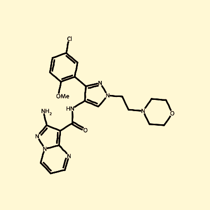 COc1ccc(Cl)cc1-c1nn(CCN2CCOCC2)cc1NC(=O)c1c(N)nn2cccnc12